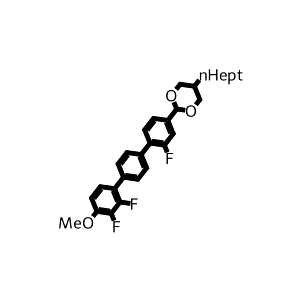 CCCCCCCC1COC(c2ccc(-c3ccc(-c4ccc(OC)c(F)c4F)cc3)c(F)c2)OC1